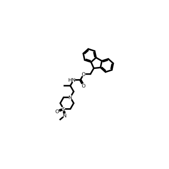 CN=S1(=O)CCN(CC(C)NC(=O)OCC2c3ccccc3-c3ccccc32)CC1